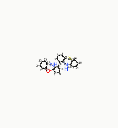 [c]1cc2c(c(-c3cccc4c3Nc3ccccc3S4)c1)Nc1ccccc1O2